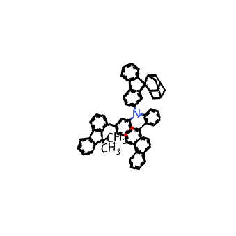 CC1(C)c2ccccc2-c2cccc(-c3cccc(N(c4ccc5c(c4)C4(c6ccccc6-5)C5CC6CC(C5)CC4C6)c4ccccc4-c4cccc5c4ccc4ccccc45)c3)c21